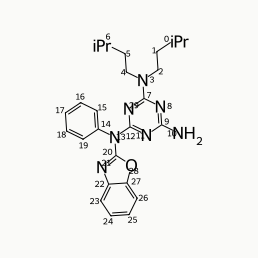 CC(C)CCN(CCC(C)C)c1nc(N)nc(N(c2ccccc2)c2nc3ccccc3o2)n1